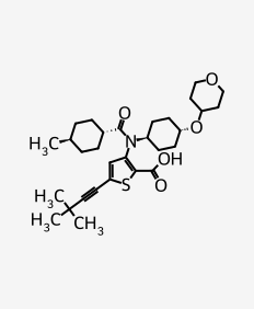 CC(C)(C)C#Cc1cc(N(C(=O)[C@H]2CC[C@H](C)CC2)[C@H]2CC[C@H](OC3CCOCC3)CC2)c(C(=O)O)s1